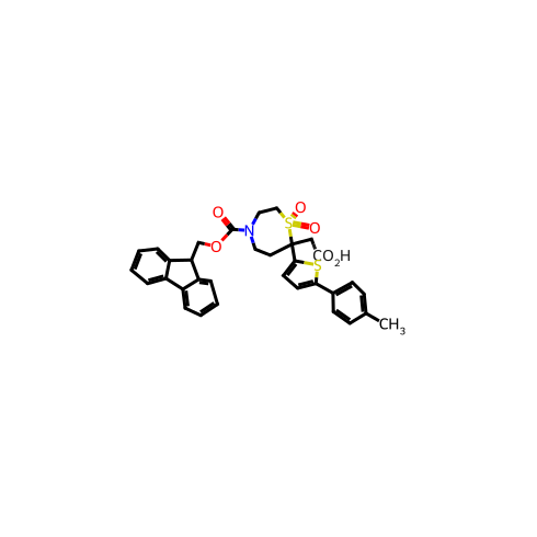 Cc1ccc(-c2ccc(C3(CC(=O)O)CCN(C(=O)OCC4c5ccccc5-c5ccccc54)CCS3(=O)=O)s2)cc1